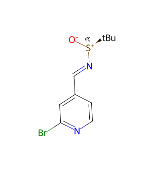 CC(C)(C)[S@+]([O-])N=Cc1ccnc(Br)c1